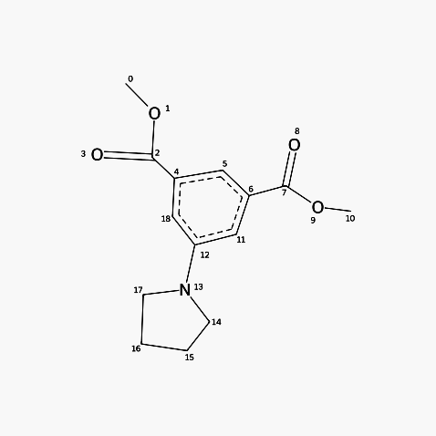 COC(=O)c1cc(C(=O)OC)cc(N2CCCC2)c1